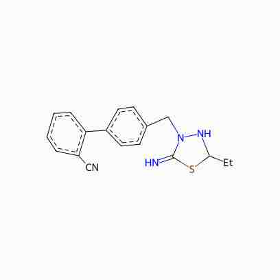 CCC1NN(Cc2ccc(-c3ccccc3C#N)cc2)C(=N)S1